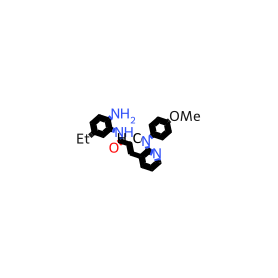 CCc1ccc(N)c(NC(=O)/C=C/c2cccnc2N(C)c2ccc(OC)cc2)c1